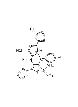 CCN1C(=O)[C@@H](NC(=O)c2cccc(C(F)(F)F)c2)[C@@H](c2ccc(F)cc2)c2c([C@@H](C)N)nn(-c3ccccc3)c21.Cl